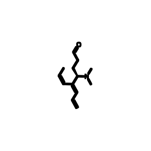 C=C/C=C(\C=C/C)[C@@H](CCC=O)N(C)C